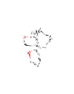 O=C(O)/C=C\C(=O)O.c1ccoc1.c1ccoc1